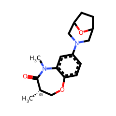 C[C@H]1COc2ccc(N3CC4CCC(C3)O4)cc2N(C)C1=O